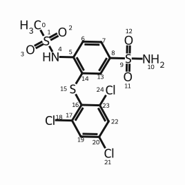 CS(=O)(=O)Nc1ccc(S(N)(=O)=O)cc1Sc1c(Cl)cc(Cl)cc1Cl